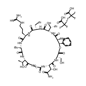 CC[C@H](C)[C@@H]1NC(=O)[C@@H](CCCNC(=N)N)NC(=O)[C@H](CC(C)C)NC(=O)[C@H]([C@H](O)C(C)C)NC(=O)[C@@H](N)[C@@H](c2ccccc2)OC(=O)[C@H](CO)NC(=O)[C@H]([C@H](O)C(N)=O)NC(=O)CNC(=O)[C@H]([C@H](C)O)NC1=O.O=C(O)C(F)(F)F.O=C(O)C(F)(F)F